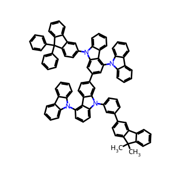 CC1(C)c2ccccc2-c2cc(-c3cccc(-n4c5cc(-c6cc(-n7c8ccccc8c8ccccc87)c7c8ccccc8n(-c8ccc9c(c8)-c8ccccc8C9(c8ccccc8)c8ccccc8)c7c6)ccc5c5c(-n6c7ccccc7c7ccccc76)cccc54)c3)ccc21